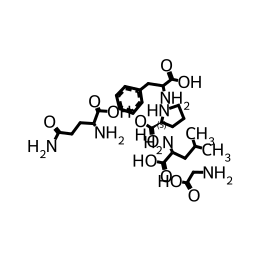 CC(C)CC(N)C(=O)O.NC(=O)CCC(N)C(=O)O.NC(Cc1ccccc1)C(=O)O.NCC(=O)O.O=C(O)[C@@H]1CCCN1